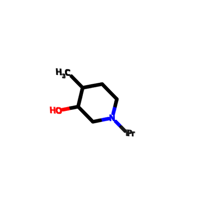 CC1CCN(C(C)C)CC1O